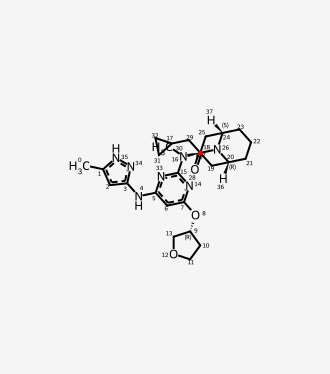 Cc1cc(Nc2cc(O[C@@H]3CCOC3)nc(N(C)[C@@H]3C[C@H]4CCC[C@@H](C3)N4C(=O)CC3CC3)n2)n[nH]1